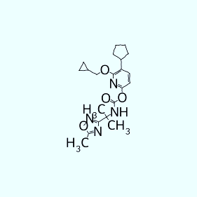 Cc1nc(C(C)(C)NC(=O)Oc2ccc(C3CCCC3)c(OCC3CC3)n2)no1